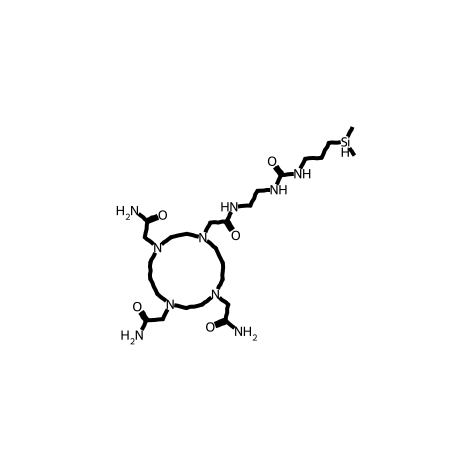 C[SiH](C)CCCNC(=O)NCCNC(=O)CN1CCCN(CC(N)=O)CCN(CC(N)=O)CCCN(CC(N)=O)CC1